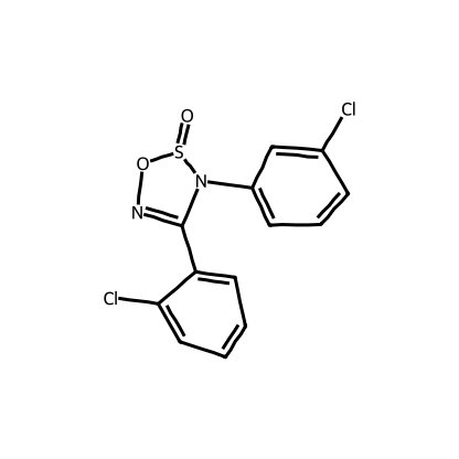 O=S1ON=C(c2ccccc2Cl)N1c1cccc(Cl)c1